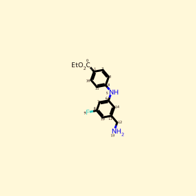 CCOC(=O)c1ccc(Nc2cc(F)cc(CN)c2)cc1